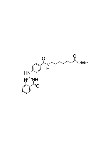 COC(=O)CCCCCCNC(=O)c1ccc(Nc2nc3ccccc3c(=O)[nH]2)cc1